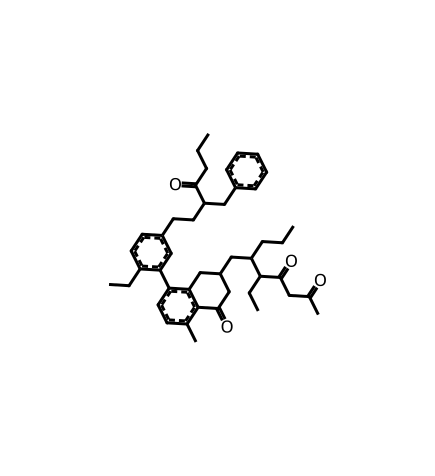 CCCC(=O)C(CCc1ccc(CC)c(-c2ccc(C)c3c2CC(CC(CCC)C(CC)C(=O)CC(C)=O)CC3=O)c1)Cc1ccccc1